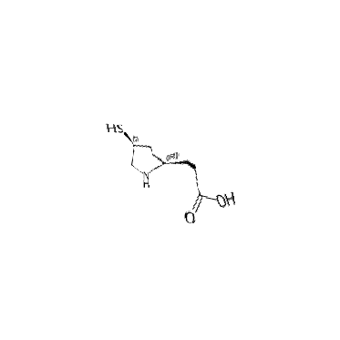 O=C(O)C[C@@H]1C[C@H](S)CN1